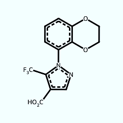 O=C(O)c1cnn(-c2cccc3c2OCCO3)c1C(F)(F)F